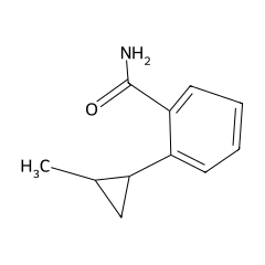 CC1CC1c1ccccc1C(N)=O